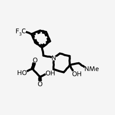 CNCC1(O)CCN(Cc2cccc(C(F)(F)F)c2)CC1.O=C(O)C(=O)O